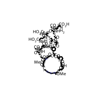 CO[C@H]1C[C@@H]2CC[C@@H](C)[C@@](O)(O2)C(=O)C(=O)N2CCCC[C@H]2C(=O)OC([C@H](C)C[C@@H]2CC[C@@H](OC(=O)C(C)(COC(=O)CSC[C@H](NC(=O)CC[C@H](N)C(=O)O)C(=O)NCC(=O)O)COC(=O)CSC[C@H](NC(=O)CC[C@H](N)C(=O)O)C(=O)NCC(=O)O)[C@H](OC)C2)CC(=O)[C@H](C)/C=C(\C)[C@@H](OC(O)CSC[C@H](NC(=O)CC[C@H](N)C(=O)O)C(=O)NCC(=O)O)[C@@H](OC)C(=O)[C@H](C)C[C@@H](C)\C=C/C=C/C=C/1C